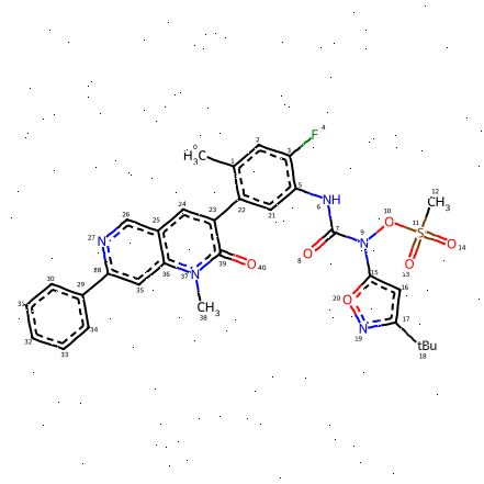 Cc1cc(F)c(NC(=O)N(OS(C)(=O)=O)c2cc(C(C)(C)C)no2)cc1-c1cc2cnc(-c3ccccc3)cc2n(C)c1=O